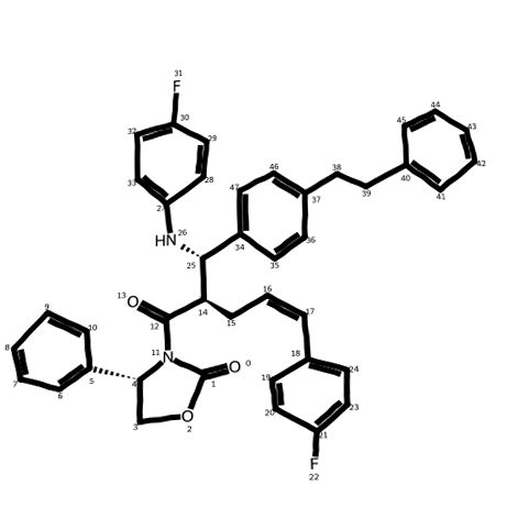 O=C1OC[C@H](c2ccccc2)N1C(=O)[C@H](C/C=C\c1ccc(F)cc1)[C@H](Nc1ccc(F)cc1)c1ccc(CCc2ccccc2)cc1